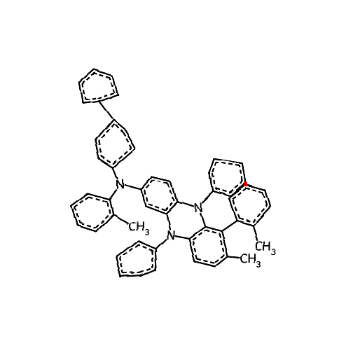 Cc1ccccc1-c1c(C)ccc2c1N(c1ccccc1)c1ccc(N(c3ccc(-c4ccccc4)cc3)c3ccccc3C)cc1N2c1ccccc1